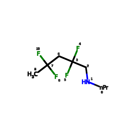 CCCNCC(F)(F)CC(C)(F)F